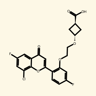 O=c1cc(-c2ccc(F)cc2OCCO[C@H]2C[C@H](C(=O)O)C2)oc2c(Cl)cc(F)cc12